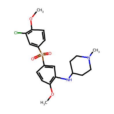 COc1ccc(S(=O)(=O)c2ccc(OC)c(NC3CCN(C)CC3)c2)cc1Cl